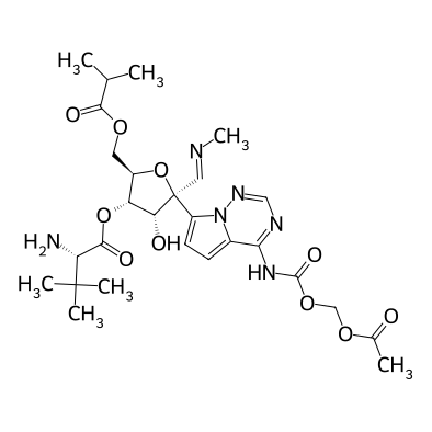 CN=C[C@@]1(c2ccc3c(NC(=O)OCOC(C)=O)ncnn23)O[C@H](COC(=O)C(C)C)[C@@H](OC(=O)[C@@H](N)C(C)(C)C)[C@H]1O